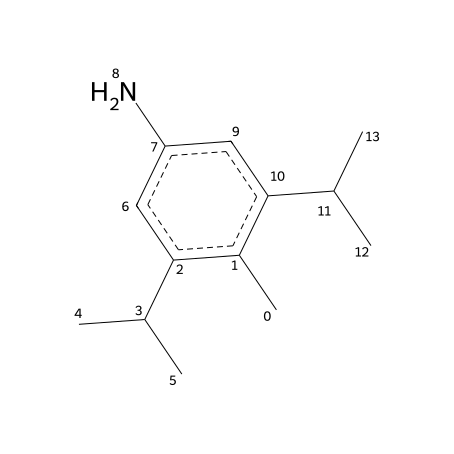 Cc1c(C(C)C)cc(N)cc1C(C)C